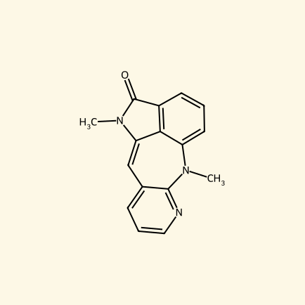 CN1C(=O)c2cccc3c2C1=Cc1cccnc1N3C